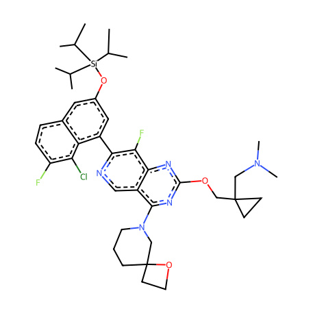 CC(C)[Si](Oc1cc(-c2ncc3c(N4CCCC5(CCO5)C4)nc(OCC4(CN(C)C)CC4)nc3c2F)c2c(Cl)c(F)ccc2c1)(C(C)C)C(C)C